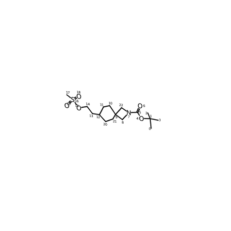 CC(C)(C)OC(=O)N1CC2(CCC(CCOS(C)(=O)=O)CC2)C1